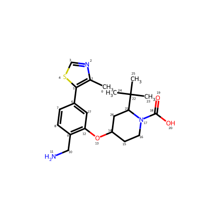 Cc1ncsc1-c1ccc(CN)c(OC2CCN(C(=O)O)C(C(C)(C)C)C2)c1